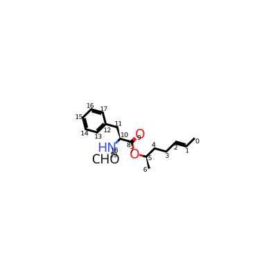 C/C=C/CC[C@@H](C)OC(=O)[C@H](Cc1ccccc1)NC=O